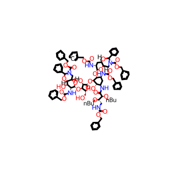 CCCCO[C@@H](CNC(=O)OCc1ccccc1)[C@H](OCCCC)C(=O)N[C@@H]1C[C@H](NC(=O)OCc2ccccc2)[C@@H](O[C@H]2O[C@@H]3CN(C(=O)OCc4ccccc4)C(c4ccccc4)O[C@H]3C[C@H]2NC(=O)OCc2ccccc2)[C@H](O[C@@H]2O[C@H](CO)[C@@H](O[C@H]3O[C@H]4CN(C(=O)OCc5ccccc5)C(c5ccccc5)O[C@H]4[C@H](O)[C@H]3NC(=O)OCc3ccccc3)[C@H]2O)[C@H]1O